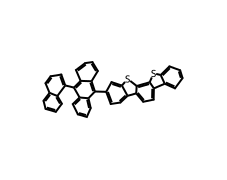 c1ccc2c(-c3c4ccccc4c(-c4ccc5c(c4)sc4c5ccc5c6ccccc6sc54)c4ccccc34)cccc2c1